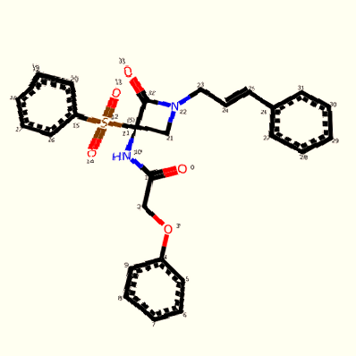 O=C(COc1ccccc1)N[C@]1(S(=O)(=O)c2ccccc2)CN(CC=Cc2ccccc2)C1=O